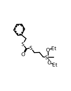 CCO[Si](C)(CCCSC(=O)SCc1ccccc1)OCC